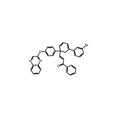 O=C(C=CC1(c2ccc(Oc3cnc4ccccc4n3)cc2)C=CC=C(c2cccc(Br)c2)C1)c1ccccc1